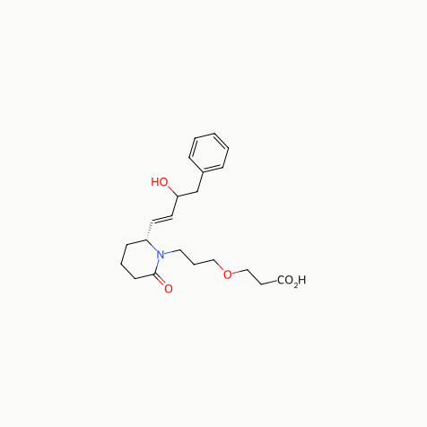 O=C(O)CCOCCCN1C(=O)CCC[C@@H]1/C=C/C(O)Cc1ccccc1